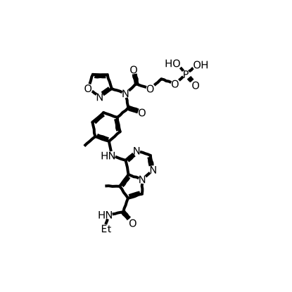 CCNC(=O)c1cn2ncnc(Nc3cc(C(=O)N(C(=O)OCOP(=O)(O)O)c4ccon4)ccc3C)c2c1C